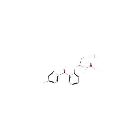 CC(C)C(=O)NC(CS(=O)(=O)O)Oc1ccccc1C(=O)c1ccc(Cl)cc1